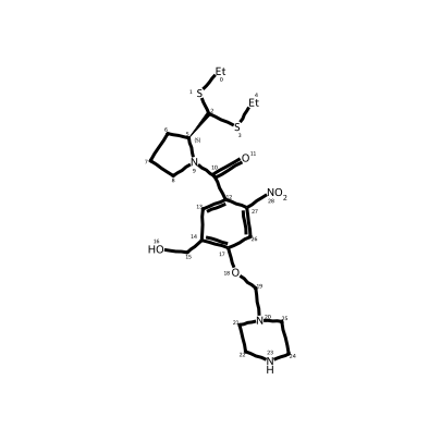 CCSC(SCC)[C@@H]1CCCN1C(=O)c1cc(CO)c(OCN2CCNCC2)cc1[N+](=O)[O-]